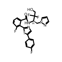 O=C(N[C@H](Cn1cccn1)C(F)(F)CO)c1cccc(F)c1-c1ncc(-c2ccc(F)cc2)s1